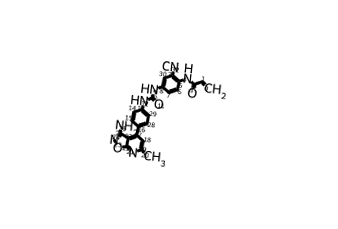 C=CC(=O)Nc1ccc(NC(=O)Nc2ccc(-c3cc(C)nc4onc(N)c34)cc2)cc1C#N